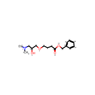 CCN(C)CC(O)COCCCC(=O)OCc1ccccc1